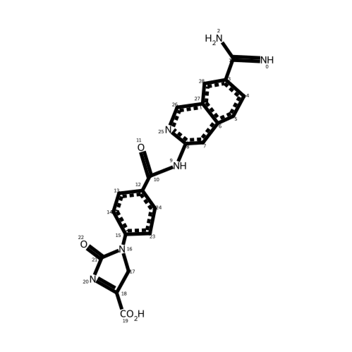 N=C(N)c1ccc2cc(NC(=O)c3ccc(N4CC(C(=O)O)=NC4=O)cc3)ncc2c1